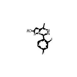 Cc1nnc(-c2ccc(F)cc2F)n2nc(O)cc12